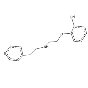 N#Cc1ccccc1OCCNCCc1ccncc1